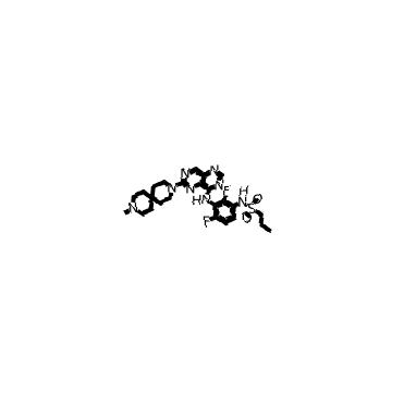 CCCS(=O)(=O)Nc1ccc(F)c(Nc2ncnc3cnc(N4CCC5(CCN(C)CC5)CC4)nc23)c1F